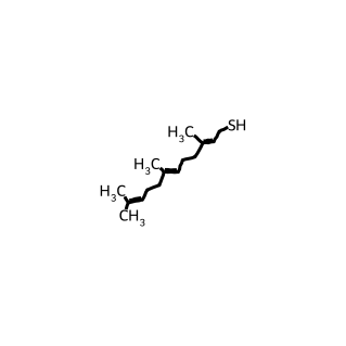 CC(C)=CCC/C(C)=C/CC/C(C)=C/CS